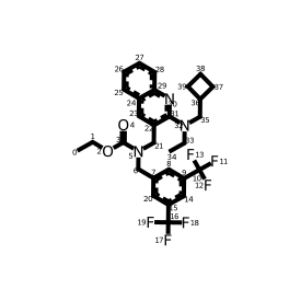 CCOC(=O)N(Cc1cc(C(F)(F)F)cc(C(F)(F)F)c1)Cc1cc2ccccc2nc1N(CC)CC1CCC1